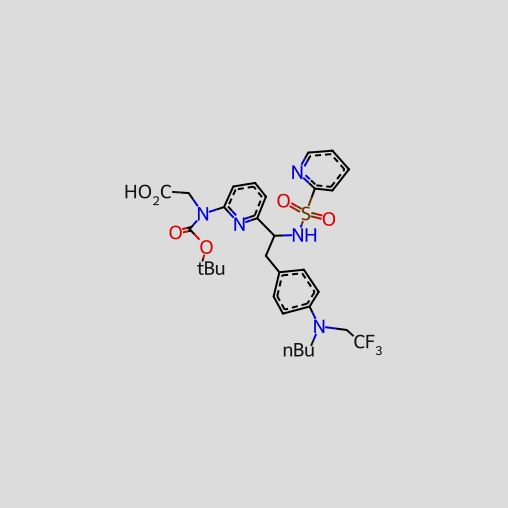 CCCCN(CC(F)(F)F)c1ccc(CC(NS(=O)(=O)c2ccccn2)c2cccc(N(CC(=O)O)C(=O)OC(C)(C)C)n2)cc1